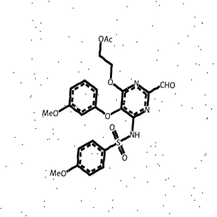 COc1ccc(S(=O)(=O)Nc2nc(C=O)nc(OCCOC(C)=O)c2Oc2cccc(OC)c2)cc1